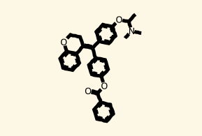 CC(Oc1ccc(C(=C2CCOc3ccccc32)c2ccc(OC(=O)c3ccccc3)cc2)cc1)N(C)C